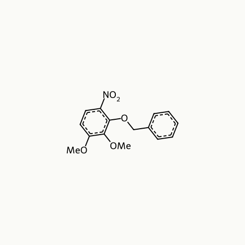 COc1ccc([N+](=O)[O-])c(OCc2ccccc2)c1OC